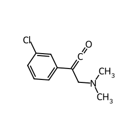 CN(C)CC(=C=O)c1cccc(Cl)c1